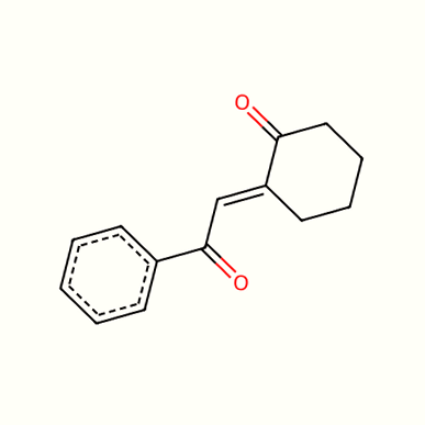 O=C1CCCC/C1=C\C(=O)c1ccccc1